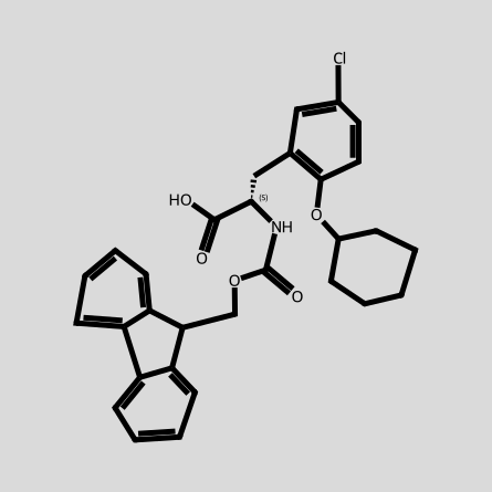 O=C(N[C@@H](Cc1cc(Cl)ccc1OC1CCCCC1)C(=O)O)OCC1c2ccccc2-c2ccccc21